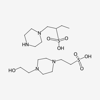 CCC(CN1CCNCC1)S(=O)(=O)O.O=S(=O)(O)CCN1CCN(CCO)CC1